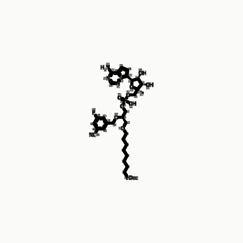 CCCCCCCCCCCCCCCCCCOC[C@H](COP(=O)(O)OC[C@@]1(C)O[C@@H](c2ccc3c(N)ncnn23)[C@H](O)[C@@H]1O)OCc1cc(F)cc(C#N)c1